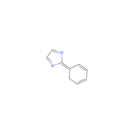 C1=CCC(=C2N=CC=N2)C=C1